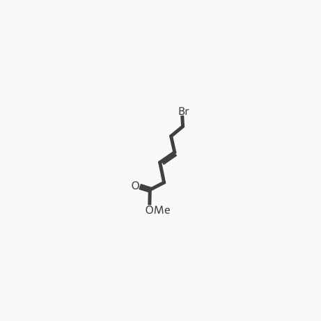 COC(=O)CC=CCCBr